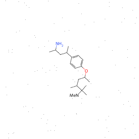 CNC(C)(C)C(C)CC(C)Oc1ccc(C(C)CC(C)N)cc1